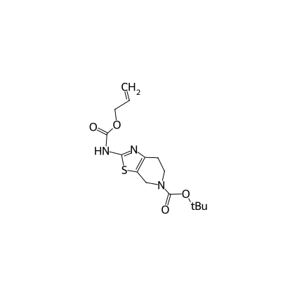 C=CCOC(=O)Nc1nc2c(s1)CN(C(=O)OC(C)(C)C)CC2